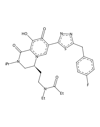 CCC(=O)N(CC)CC[C@H]1CN(C(C)C)C(=O)c2c(O)c(=O)c(-c3nnc(Cc4ccc(F)cc4)s3)cn21